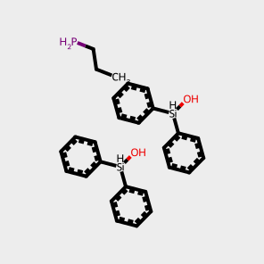 CCCP.O[SiH](c1ccccc1)c1ccccc1.O[SiH](c1ccccc1)c1ccccc1